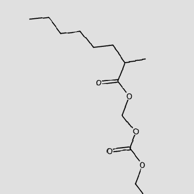 CCCCCCC(C)C(=O)OCOC(=O)OCC